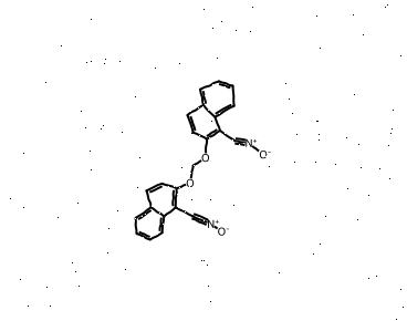 [O-][N+]#Cc1c(OCOc2ccc3ccccc3c2C#[N+][O-])ccc2ccccc12